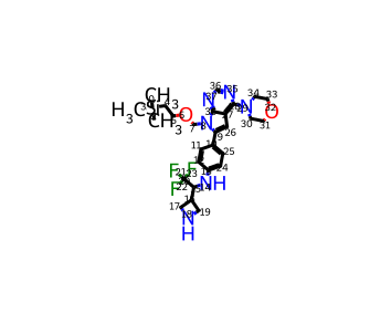 C[Si](C)(C)CCOCn1c(-c2ccc(NC(C3CNC3)C(F)(F)F)cc2)cc2c(N3CCOCC3)ncnc21